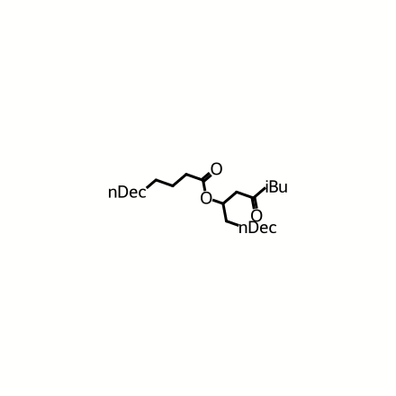 CCCCCCCCCCCCCC(=O)OC(CCCCCCCCCCC)CC(=O)C(C)CC